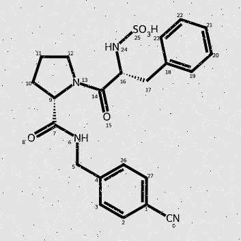 N#Cc1ccc(CNC(=O)[C@@H]2CCCN2C(=O)[C@@H](Cc2ccccc2)NS(=O)(=O)O)cc1